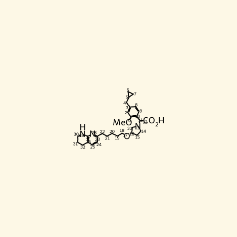 COc1cc(CC2CC2)ccc1C(C(=O)O)N1CC[C@@H](OCCCCCc2ccc3c(n2)NCCC3)C1